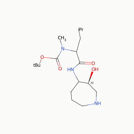 CC(C)CC(C(=O)NC1CCCNC[C@@H]1O)N(C)C(=O)OC(C)(C)C